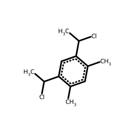 Cc1cc(C)c(C(C)Cl)cc1C(C)Cl